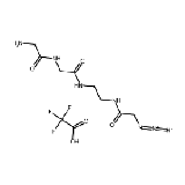 O=C(O)C(F)(F)F.[N-]=[N+]=NCC(=O)NCCNC(=O)CNC(=O)CN